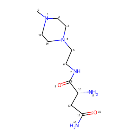 CN1CCN(CCNC(=O)[C@H](N)CC(N)=O)CC1